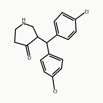 O=C1CCNCC1C(c1ccc(Cl)cc1)c1ccc(Cl)cc1